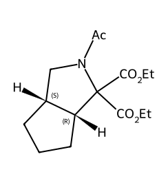 CCOC(=O)C1(C(=O)OCC)[C@@H]2CCC[C@@H]2CN1C(C)=O